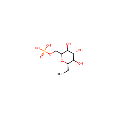 O=CC[C@H]1OC(COP(=O)(O)O)[C@@H](O)[C@H](O)C1O